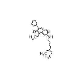 CCN(CC)CCCCNc1cc2c(cn1)cc(-c1ccccc1)c(=O)n2CC